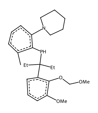 CCC(CC)(Pc1c(C)cccc1N1CCCCC1)c1cccc(OC)c1OCOC